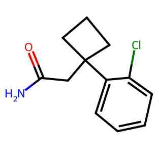 NC(=O)CC1(c2ccccc2Cl)CCC1